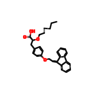 CCCCCCOC(Cc1ccc(OCC=C2c3ccccc3-c3ccccc32)cc1)C(=O)O